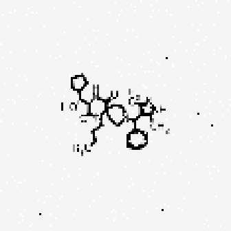 CCCCN1C(=O)[C@@H]([C@H](O)C2CCCC2)NC(=O)C12CCN(C(c1ccccc1)c1c(C)n[nH]c1C)CC2